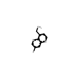 CCc1ccnc2cc(F)cnc12